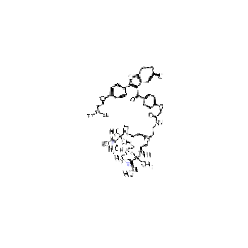 CCN(CC)CCOc1ccc(-c2oc3ccc(Cl)cc3c2C(=O)c2ccc(OCC(=O)NCCN(CCNC(C)(C)/C(C)=N/O)CCNC(C)(C)/C(C)=N/O)cc2)cc1